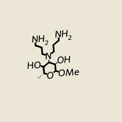 COC1O[C@H](C)C(O)[C@H](N(CCCN)CCCN)[C@@H]1O